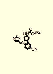 CC(C)(C)OC(=O)NC1Cc2c(n(Cc3cnsn3)c3ccc(C#N)cc23)C1